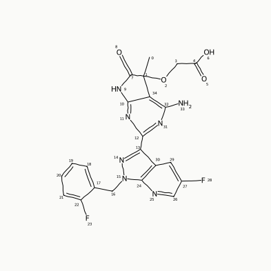 CC1(OCC(=O)O)C(=O)Nc2nc(-c3nn(Cc4ccccc4F)c4ncc(F)cc34)nc(N)c21